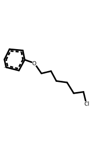 ClCCCCCCOc1c[c]ccc1